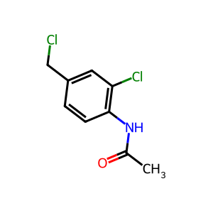 CC(=O)Nc1ccc(CCl)cc1Cl